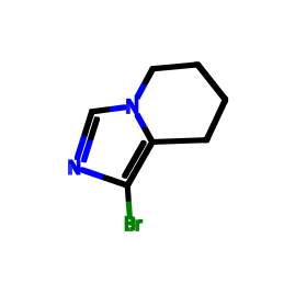 Brc1ncn2c1CCCC2